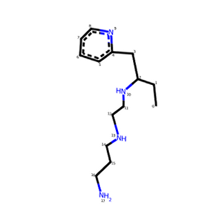 CCC(Cc1ccccn1)NCCNCCCN